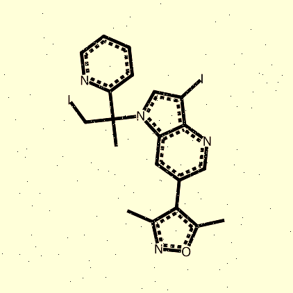 Cc1noc(C)c1-c1cnc2c(I)cn(C(C)(CI)c3ccccn3)c2c1